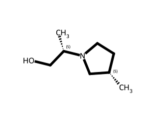 C[C@H]1CCN([C@@H](C)CO)C1